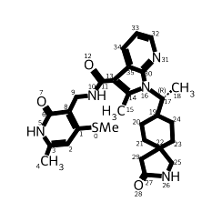 CSc1cc(C)[nH]c(=O)c1CNC(=O)c1c(C)n([C@H](C)C2CCC3(CC2)CNC(=O)C3)c2ncccc12